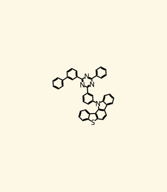 c1ccc(-c2cccc(-c3nc(-c4ccccc4)nc(-c4cccc(-n5c6ccccc6c6ccc7sc8ccccc8c7c65)c4)n3)c2)cc1